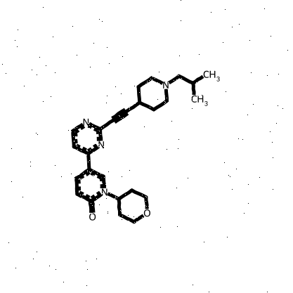 CC(C)CN1CCC(C#Cc2nccc(-c3ccc(=O)n(C4CCOCC4)c3)n2)CC1